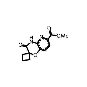 COC(=O)c1ccc2c(n1)NC(=O)C1(CCC1)O2